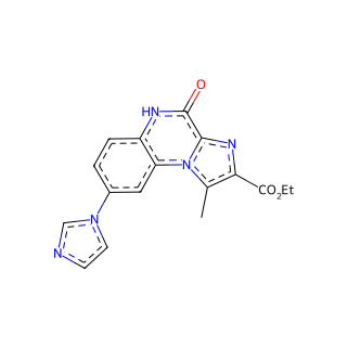 CCOC(=O)c1nc2c(=O)[nH]c3ccc(-n4ccnc4)cc3n2c1C